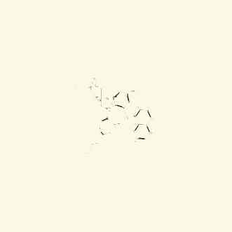 CCOC(=O)C[C@H]1O[C@H](c2cccc3ccccc23)c2cc(Cl)ccc2N(CC(C)(C)CN(C)C)C1=O